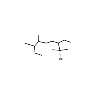 CCC(C)C(C)[CH]CC(CC)C(C)(C)O